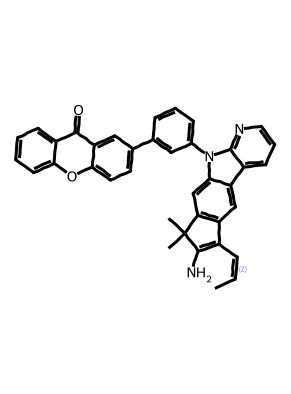 C/C=C\C1=C(N)C(C)(C)c2cc3c(cc21)c1cccnc1n3-c1cccc(-c2ccc3oc4ccccc4c(=O)c3c2)c1